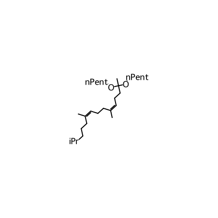 CCCCCOC(C)(CCC=C(C)CCC=C(C)CCCC(C)C)OCCCCC